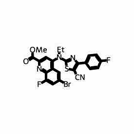 CCN(c1nc(-c2ccc(F)cc2)c(C#N)s1)c1cc(C(=O)OC)nc2c(F)cc(Br)cc12